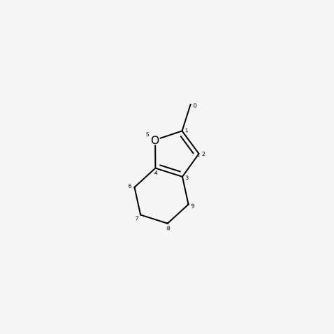 Cc1[c]c2c(o1)CCCC2